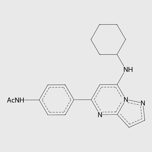 CC(=O)Nc1ccc(-c2cc(NC3CCCCC3)n3nccc3n2)cc1